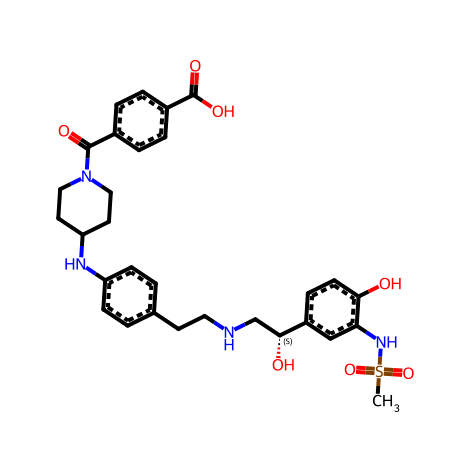 CS(=O)(=O)Nc1cc([C@H](O)CNCCc2ccc(NC3CCN(C(=O)c4ccc(C(=O)O)cc4)CC3)cc2)ccc1O